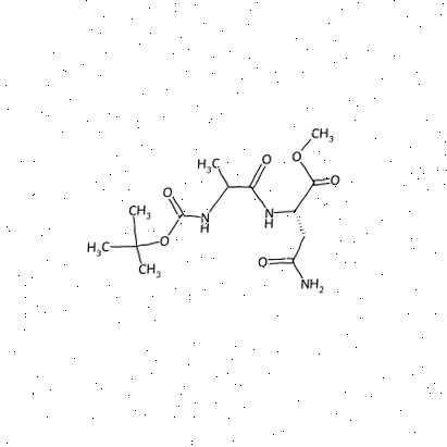 COC(=O)[C@H](CC(N)=O)NC(=O)C(C)NC(=O)OC(C)(C)C